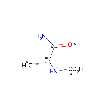 C[C@@H](NC(=O)O)C(N)=O